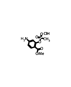 COC(=O)c1ccc(N)cc1OS(C)(=O)=O.Cl